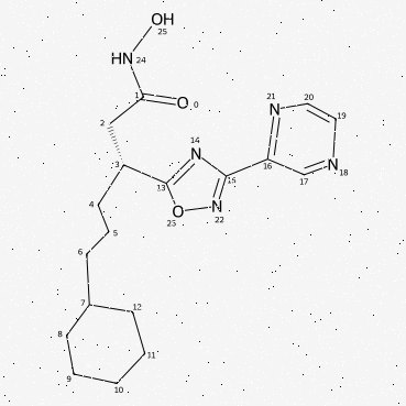 O=C(C[C@@H](CCCC1CCCCC1)c1nc(-c2cnccn2)no1)NO